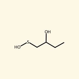 CCC(O)CSO